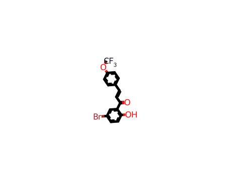 O=C(/C=C/c1ccc(OC(F)(F)F)cc1)c1cc(Br)ccc1O